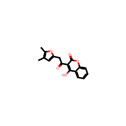 Cc1cc(CC(=O)c2c(O)c3ccccc3oc2=O)oc1C